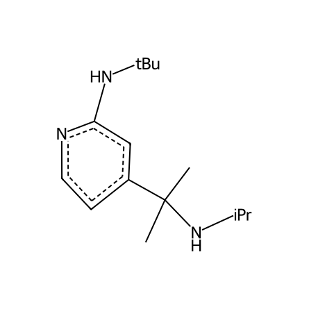 CC(C)NC(C)(C)c1ccnc(NC(C)(C)C)c1